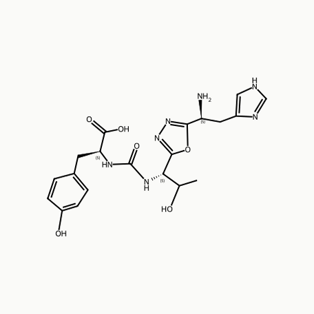 CC(O)[C@H](NC(=O)N[C@@H](Cc1ccc(O)cc1)C(=O)O)c1nnc([C@@H](N)Cc2c[nH]cn2)o1